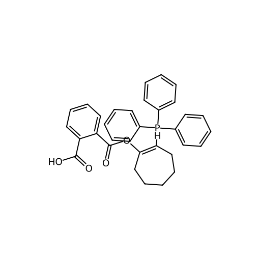 O=C(O)c1ccccc1C(=O)OC1=C([PH](c2ccccc2)(c2ccccc2)c2ccccc2)CCCCC1